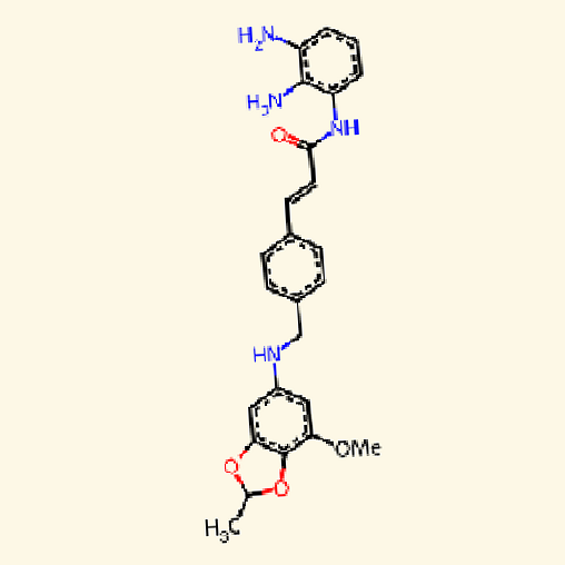 COc1cc(NCc2ccc(/C=C/C(=O)Nc3cccc(N)c3N)cc2)cc2c1OC(C)O2